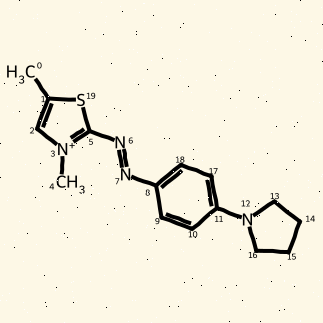 Cc1c[n+](C)c(/N=N/c2ccc(N3CCCC3)cc2)s1